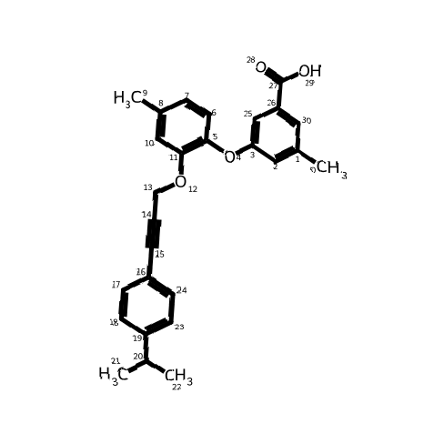 Cc1cc(Oc2ccc(C)cc2OCC#Cc2ccc(C(C)C)cc2)cc(C(=O)O)c1